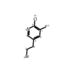 Fc1cc(CCBr)cnc1Cl